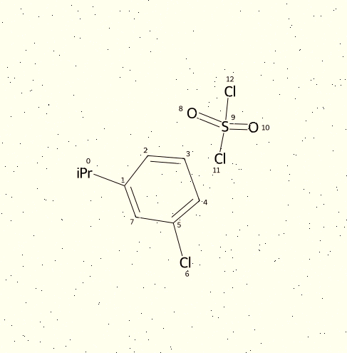 CC(C)c1cccc(Cl)c1.O=S(=O)(Cl)Cl